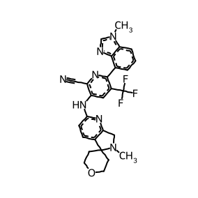 CN1Cc2nc(Nc3cc(C(F)(F)F)c(-c4cccc5c4ncn5C)nc3C#N)ccc2C12CCOCC2